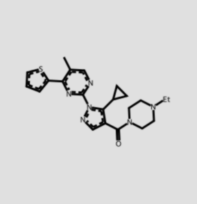 CCN1CCN(C(=O)c2cnn(-c3ncc(C)c(-c4cccs4)n3)c2C2CC2)CC1